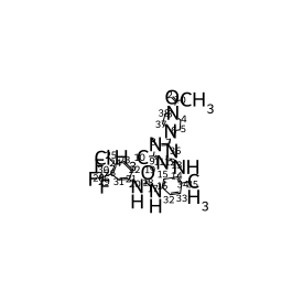 CC(=O)N1CCN(c2nc(C)nc(Nc3cc(NC(=O)Nc4ccc(Cl)c(C(F)(F)F)c4)ccc3C)n2)CC1